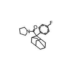 O=C(N1CCCC1)C1(c2ccc(F)cc2)C2CC3CC(C2)CC1C3